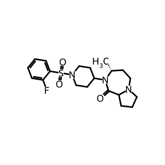 C[C@@H]1CCN2CCCC2C(=O)N1C1CCN(S(=O)(=O)c2ccccc2F)CC1